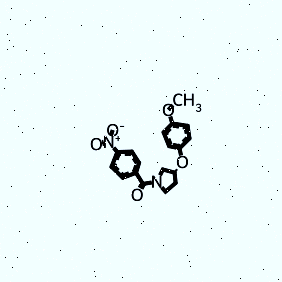 COc1ccc(O[C@@H]2CCN(C(=O)c3ccc([N+](=O)[O-])cc3)C2)cc1